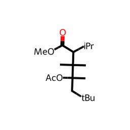 COC(=O)C(C(C)C)C(C)(C)C(C)(CC(C)(C)C)OC(C)=O